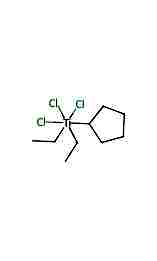 C[CH2][Ti]([Cl])([Cl])([Cl])([CH2]C)[CH]1CCCC1